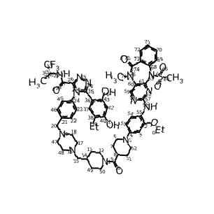 CCOc1cc(N2CCC(C(=O)N3CCC(CN4CCN(Cc5ccc(-n6c(C(=O)N[C@H](C)C(F)(F)F)nnc6-c6cc(CC)c(O)cc6O)cc5)CC4)CC3)CC2)ccc1Nc1ncc2c(n1)N(S(C)(=O)=O)c1ccccc1C(=O)N2C